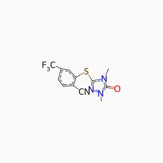 Cn1nc(Sc2cc(C(F)(F)F)ccc2C#N)n(C)c1=O